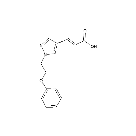 O=C(O)C=Cc1cnn(CCOc2ccccc2)c1